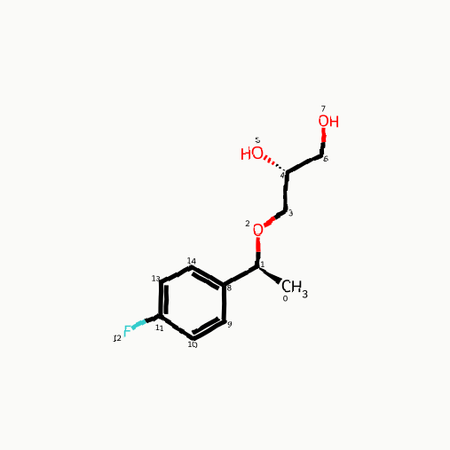 C[C@H](OC[C@H](O)CO)c1ccc(F)cc1